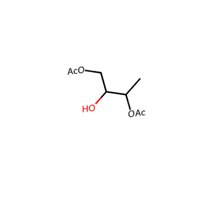 CC(=O)OCC(O)C(C)OC(C)=O